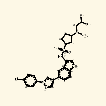 CCc1ccc(-n2cc(-c3ccc4[nH]cc(NS(=O)(=O)C5CCC(N(C)CC(F)F)C5)c4c3)cn2)cc1